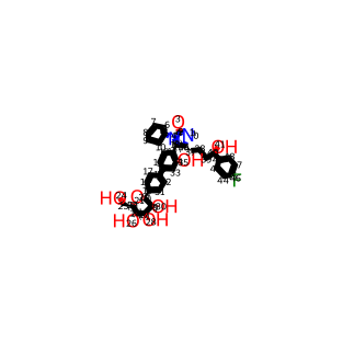 CN1C(=O)N(c2ccccc2)[C@H](c2ccc(-c3ccc([C@@H]4O[C@H](CO)[C@@H](O)[C@H](O)[C@H]4O)cc3)cc2O)[C@H]1CCCC(O)c1ccc(F)cc1